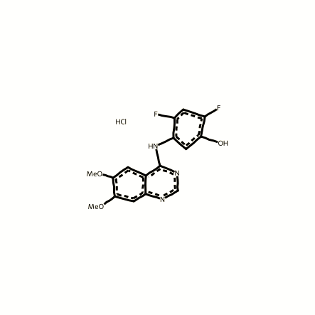 COc1cc2ncnc(Nc3cc(O)c(F)cc3F)c2cc1OC.Cl